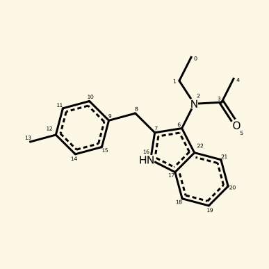 CCN(C(C)=O)c1c(Cc2ccc(C)cc2)[nH]c2ccccc12